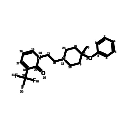 CC1(Oc2ccccc2)CCN(CCn2cccc(C(F)(F)F)c2=O)CC1